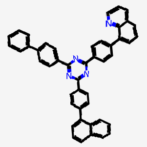 c1ccc(-c2ccc(-c3nc(-c4ccc(-c5cccc6ccccc56)cc4)nc(-c4ccc(-c5cccc6cccnc56)cc4)n3)cc2)cc1